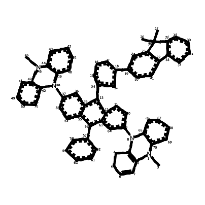 CN1C2=C(CCC=C2)N(c2ccc3c(-c4cccc(-c5ccc6c(c5)C(C)(C)c5ccccc5-6)c4)c4cc(N5c6ccccc6N(C)c6ccccc65)ccc4c(-c4ccccc4)c3c2)c2ccccc21